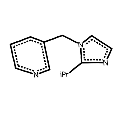 CC(C)c1nccn1Cc1cccnc1